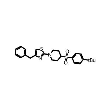 CC(C)(C)c1ccc(S(=O)(=O)C2CCN(c3nc(Cc4ccccc4)cs3)CC2)cc1